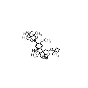 COc1cn(C(CCOC2(C)CCC2)(C(=O)O)C(C)(C)C)c(=O)cc1B1OC(C)(C)C(C)(C)O1